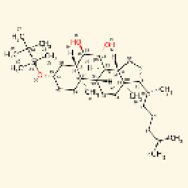 CC(C)CCC[C@@H](C)[C@H]1CC[C@H]2[C@@H]3[C@@H](O)[C@H](O)[C@H]4C[C@@H](O[Si](C)(C)C(C)(C)C)CC[C@]4(C)[C@H]3CC[C@]12C